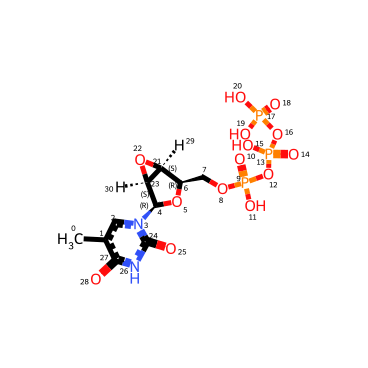 Cc1cn([C@@H]2O[C@H](COP(=O)(O)OP(=O)(O)OP(=O)(O)O)[C@@H]3O[C@@H]32)c(=O)[nH]c1=O